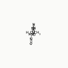 C[C@@H]1CN(c2ncc(C#N)cn2)C[C@H](C)N1C(=O)NCCC1CCN(C2Cc3ccccc3C2)CC1